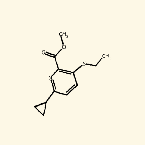 CCSc1ccc(C2CC2)nc1C(=O)OC